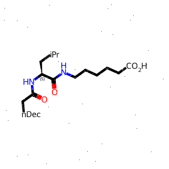 CCCCCCCCCCCC(=O)N[C@@H](CC(C)C)C(=O)NCCCCCC(=O)O